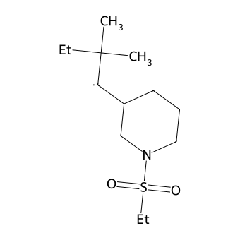 CCC(C)(C)[CH]C1CCCN(S(=O)(=O)CC)C1